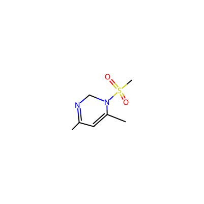 CC1=CC(C)=NCN1S(C)(=O)=O